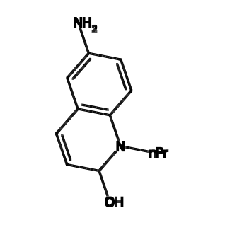 CCCN1c2ccc(N)cc2C=CC1O